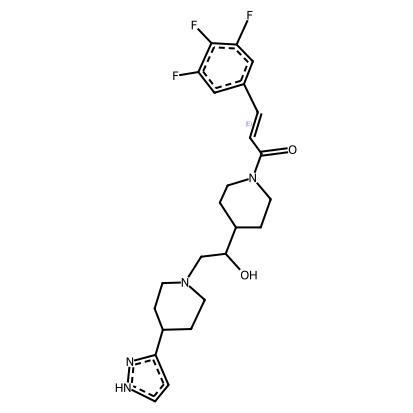 O=C(/C=C/c1cc(F)c(F)c(F)c1)N1CCC(C(O)CN2CCC(c3cc[nH]n3)CC2)CC1